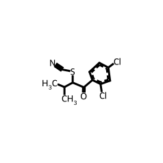 CC(C)C(SC#N)C(=O)c1ccc(Cl)cc1Cl